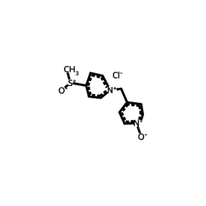 C[S+]([O-])c1cc[n+](Cc2cc[n+]([O-])cc2)cc1.[Cl-]